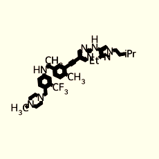 C=C(Nc1ccc(CN2CCN(C)CC2)c(C(F)(F)F)c1)c1ccc(C)c(C#Cc2cnc(Nc3cn(CCC(C)C)nc3CC)nc2)c1